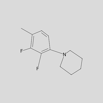 Cc1ccc(N2CCCCC2)c(F)c1F